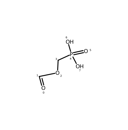 O=COCP(=O)(O)O